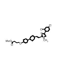 COC(=O)CCCOc1ccc(-c2ccc(C=Cc3nc(-c4ccc(Cl)cc4Cl)cn3C)cc2)cc1